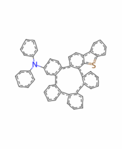 c1ccc(N(c2ccccc2)c2ccc3c(c2)c2ccccc2c2ccccc2c2ccccc2c2c3ccc3c4ccccc4sc32)cc1